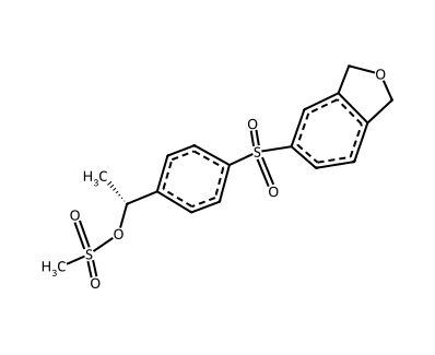 C[C@@H](OS(C)(=O)=O)c1ccc(S(=O)(=O)c2ccc3c(c2)COC3)cc1